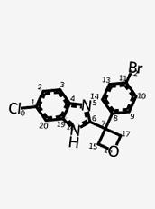 Clc1ccc2nc(C3(c4ccc(Br)cc4)COC3)[nH]c2c1